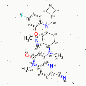 COc1cc(F)ccc1N(CC1CCC1)[C@H]1CC[C@H](N(C)c2c(C#N)c(=O)n(C)c3ccc(C#N)nc23)CC1